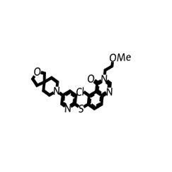 COCCn1cnc2ccc(Sc3ccc(N4CCC5(CCOC5)CC4)cn3)c(Cl)c2c1=O